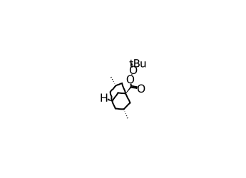 C[C@@H]1C[C@@H]2C[C@H](C)C[C@](C(=O)OOC(C)(C)C)(C1)C2